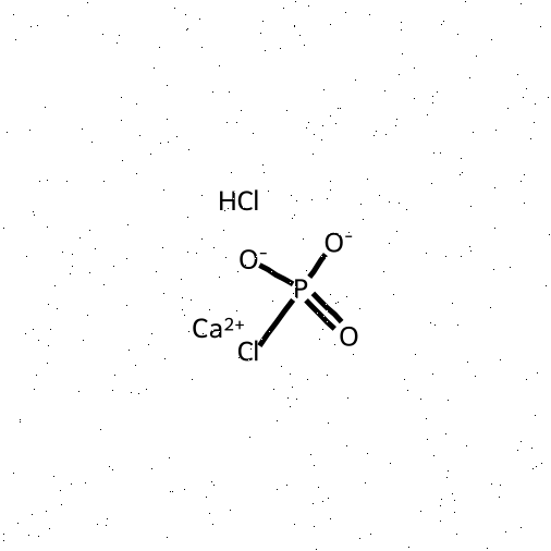 Cl.O=P([O-])([O-])Cl.[Ca+2]